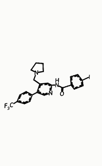 O=C(Nc1cc(CN2CCCC2)c(-c2ccc(C(F)(F)F)cc2)cn1)c1ccc(I)cc1